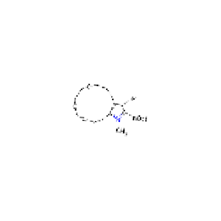 CCCCCCCCc1c(CCC)c2c(n1C)CCCCCCCCCCC2